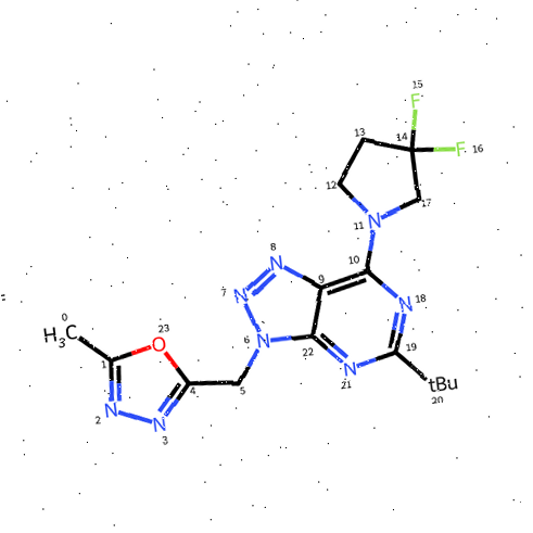 Cc1nnc(Cn2nnc3c(N4CCC(F)(F)C4)nc(C(C)(C)C)nc32)o1